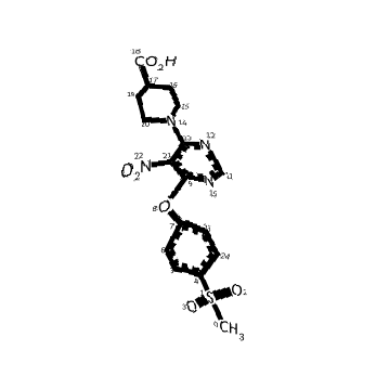 CS(=O)(=O)c1ccc(Oc2ncnc(N3CCC(C(=O)O)CC3)c2[N+](=O)[O-])cc1